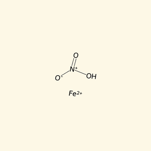 O=[N+]([O-])O.[Fe+2]